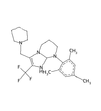 Cc1cc(C)c(N2CCCN3C(CN4CCCCC4)=C(C(F)(F)F)NC32)c(C)c1